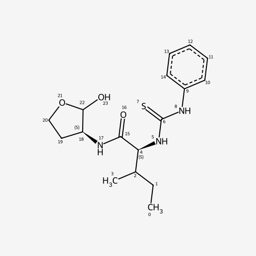 CCC(C)[C@H](NC(=S)Nc1ccccc1)C(=O)N[C@H]1CCOC1O